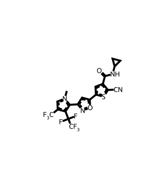 Cn1cc(C(F)(F)F)c(C(F)(F)C(F)(F)F)c1-c1cc(-c2cc(C(=O)NC3CC3)c(C#N)s2)on1